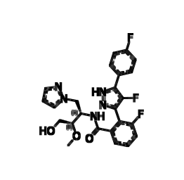 CO[C@@H](CO)[C@@H](Cn1cccn1)NC(=O)c1cccc(F)c1-c1n[nH]c(-c2ccc(F)cc2)c1F